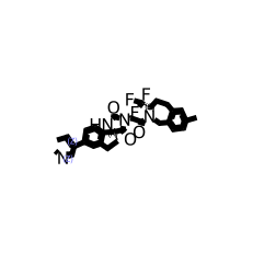 C/C=C(\C=N/C)c1ccc2c(c1)CC[C@@]21NC(=O)N(CC(=O)N2Cc3ccc(C)cc3CC[C@H]2C(F)(F)F)C1=O